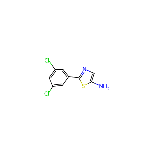 Nc1cnc(-c2cc(Cl)cc(Cl)c2)s1